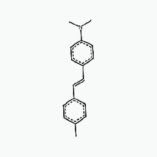 Cc1ccc(/C=C/c2ccc(N(C)C)cc2)cc1